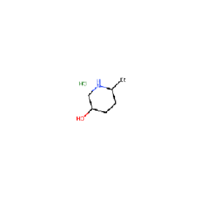 CCC1CCC(O)CN1.Cl